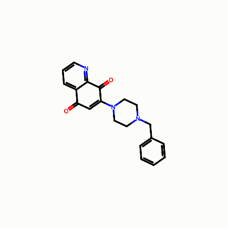 O=C1C=C(N2CCN(Cc3ccccc3)CC2)C(=O)c2ncccc21